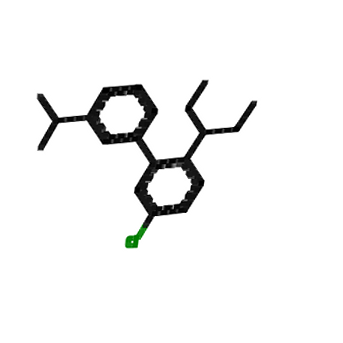 CCC(CC)c1ccc(Cl)cc1-c1cccc(C(C)C)c1